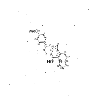 COc1ccc(C2CCC(C(O)c3c(C4CC4)ccc4cncn34)CC2)cc1